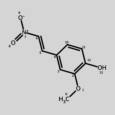 COc1cc(C=C[N+](=O)[O-])ccc1O